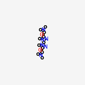 N#Cc1cc(C#N)c(-n2c3ccccc3c3c4oc5c(ccc6c5c5ccccc5n6-c5ccccc5)c4ccc32)cc1-n1c2ccccc2c2c3oc4c(ccc5c4c4ccccc4n5-c4ccccc4)c3ccc21